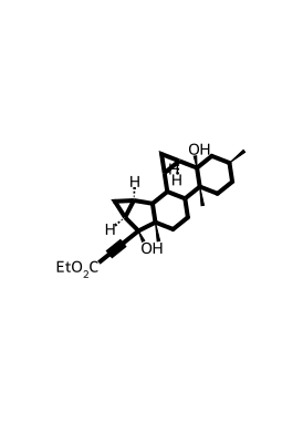 CCOC(=O)C#C[C@]1(O)[C@H]2C[C@H]2C2C3C(CC[C@@]21C)[C@@]1(C)CC[C@H](C)C[C@@]1(O)[C@@H]1C[C@H]31